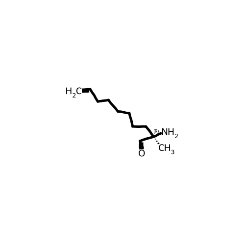 C=CCCCCCC[C@@](C)(N)C=O